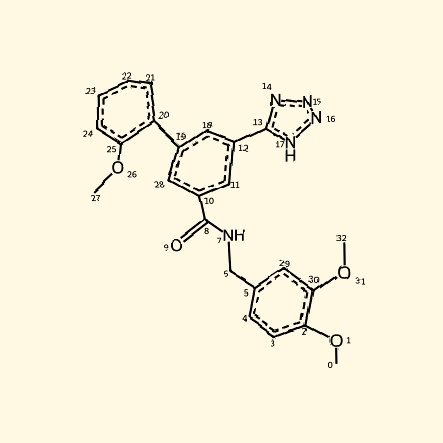 COc1ccc(CNC(=O)c2cc(-c3nnn[nH]3)cc(-c3ccccc3OC)c2)cc1OC